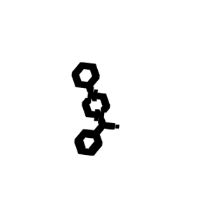 [CH2]C(c1ccccc1)N1CCN(C2CCCCC2)CC1